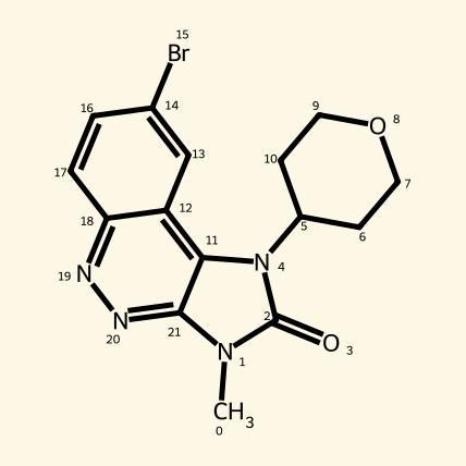 Cn1c(=O)n(C2CCOCC2)c2c3cc(Br)ccc3nnc21